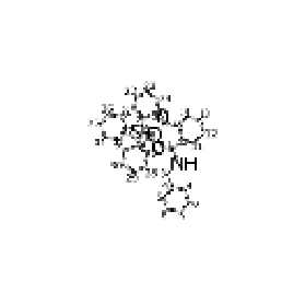 O=C(NCc1ccccc1)c1ccccc1C(=O)[O][Sn]([c]1ccccc1)([c]1ccccc1)[c]1ccccc1